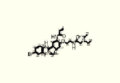 C=CC(=O)Nc1cc2c(Nc3ccc(Br)cc3F)ncnc2cc1OCCNC(=O)CN(CC)CC